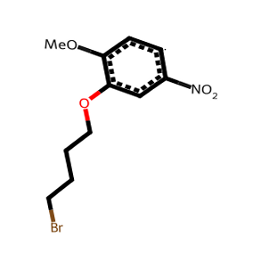 COc1c[c]c([N+](=O)[O-])cc1OCCCCBr